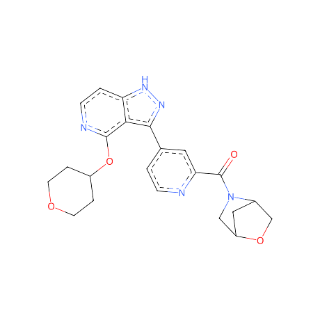 O=C(c1cc(-c2n[nH]c3ccnc(OC4CCOCC4)c23)ccn1)N1CC2CC1CO2